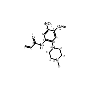 C=CC(=O)Nc1cc([N+](=O)[O-])c(OC)cc1N1CCN(C)CC1